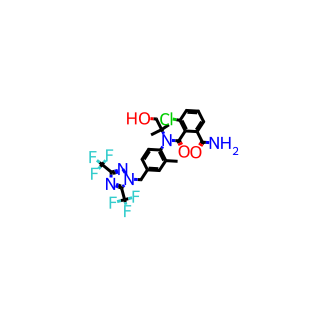 Cc1cc(Cn2nc(C(F)(F)F)nc2C(F)(F)F)ccc1N(C(=O)c1c(Cl)cccc1C(N)=O)C(C)(C)CO